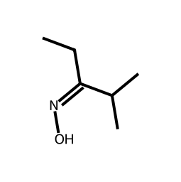 CCC(=NO)C(C)C